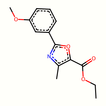 CCOC(=O)c1oc(-c2cccc(OC)c2)nc1C